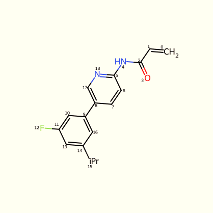 C=CC(=O)Nc1ccc(-c2cc(F)cc(C(C)C)c2)cn1